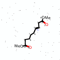 COC(=O)C/C=C/CCCCC(=O)OC